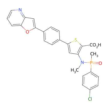 CN(c1cc(-c2ccc(-c3cc4ncccc4o3)cc2)sc1C(=O)O)P(C)(=O)c1ccc(Cl)cc1